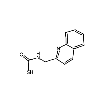 O=C(S)NCc1ccc2ccccc2n1